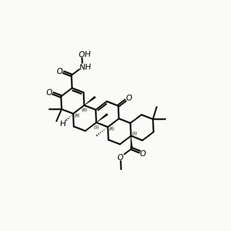 COC(=O)[C@]12CCC(C)(C)CC1C1C(=O)C=C3[C@@]4(C)C=C(C(=O)NO)C(=O)C(C)(C)[C@@H]4CC[C@@]3(C)[C@]1(C)CC2